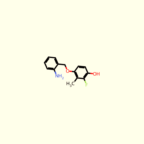 Cc1c(OCc2ccccc2N)ccc(O)c1F